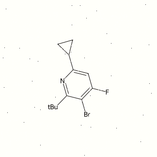 CC(C)(C)c1nc(C2CC2)cc(F)c1Br